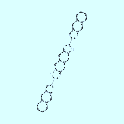 c1ccc2cc3oc(-c4nc5cc6cc7sc(-c8cc9cc%10ccccc%10cc9o8)nc7cc6cc5s4)cc3cc2c1